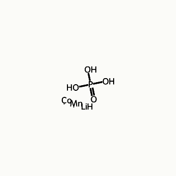 O=P(O)(O)O.[Co].[LiH].[Mn]